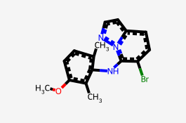 COc1ccc(C)c(Nc2c(Br)ccc3ccnn23)c1C